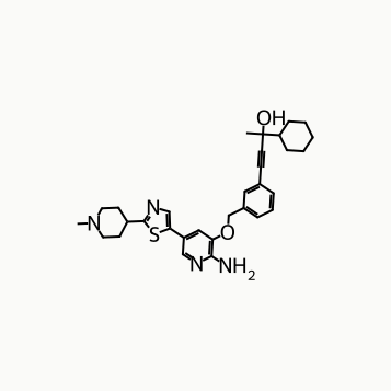 CN1CCC(c2ncc(-c3cnc(N)c(OCc4cccc(C#CC(C)(O)C5CCCCC5)c4)c3)s2)CC1